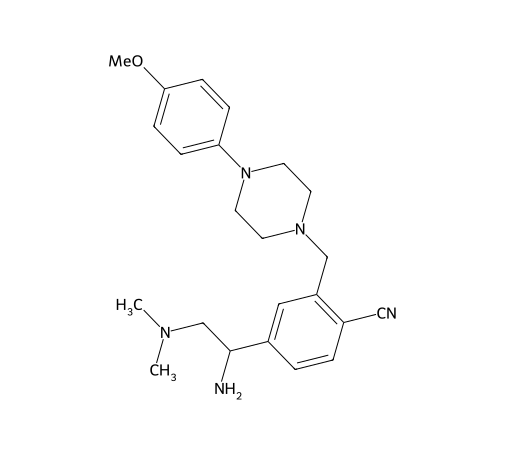 COc1ccc(N2CCN(Cc3cc(C(N)CN(C)C)ccc3C#N)CC2)cc1